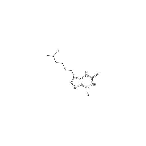 CC(Cl)CCCCn1cnc2c(=O)[nH]c(=O)[nH]c21